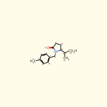 Cc1ccc(CN2C(=O)CCC2C(C)C(=O)O)cc1